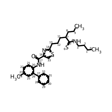 CCCCNC(=S)C(CCC)CCCc1nc(C(=O)Nc2ccc(C)cc2-c2ccccc2)cs1